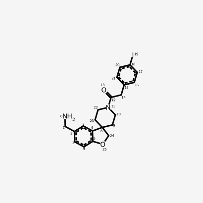 NCc1ccc2c(c1)C1(CCN(C(=O)Cc3ccc(I)cc3)CC1)CO2